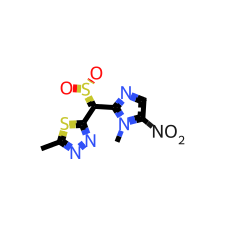 Cc1nnc(C(c2ncc([N+](=O)[O-])n2C)=S(=O)=O)s1